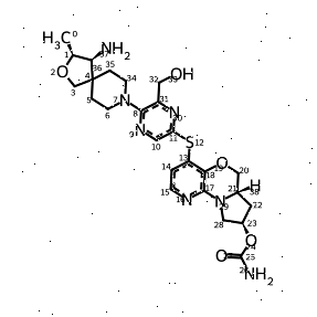 C[C@@H]1OCC2(CCN(c3ncc(Sc4ccnc5c4OC[C@@H]4C[C@@H](OC(N)=O)CN54)nc3CO)CC2)[C@@H]1N